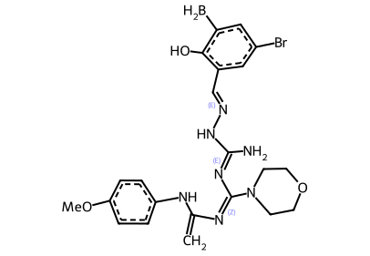 Bc1cc(Br)cc(/C=N/N/C(N)=N/C(=N\C(=C)Nc2ccc(OC)cc2)N2CCOCC2)c1O